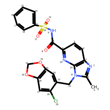 Cc1nc2ccc(C(=O)NS(=O)(=O)c3ccccc3)nc2n1Cc1cc2c(cc1Cl)OCO2